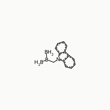 BB(B)Cn1c2ccccc2c2ccccc21